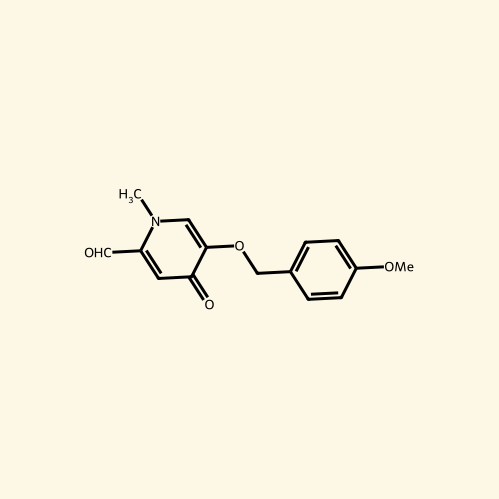 COc1ccc(COc2cn(C)c(C=O)cc2=O)cc1